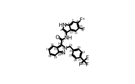 O=C(Nc1c[nH]c2cc(F)c(F)cc12)c1c2ccccc2nn1Cc1ccc(C(F)(F)F)cc1